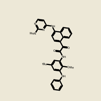 CNc1nccc(Nc2ccc(C(=O)C(=O)Nc3cc(C(C)(C)C)cc(Nc4ccccc4)c3OC)c3ccccc23)n1